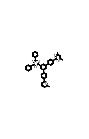 Cc1cccc(-c2ccc(-c3cc(-c4ccc(-c5nc(C)cc(C)n5)cc4)cc(-c4nc(-c5ccccc5)nc(-c5ccccc5)n4)c3)cc2)n1